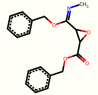 CN=C(OCc1ccccc1)C1OC1C(=O)OCc1ccccc1